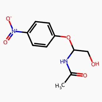 CC(=O)NC(CO)Oc1ccc([N+](=O)[O-])cc1